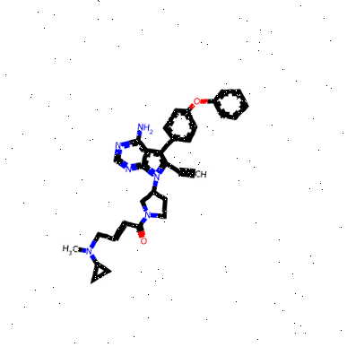 C#Cc1c(-c2ccc(Oc3ccccc3)cc2)c2c(N)ncnc2n1C1CCN(C(=O)/C=C/CN(C)C2CC2)C1